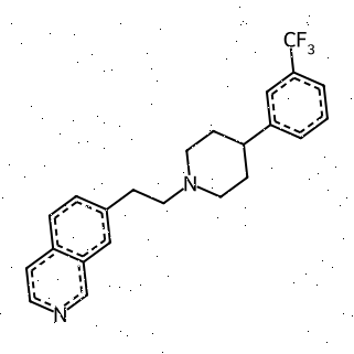 FC(F)(F)c1cccc(C2CCN(CCc3ccc4ccncc4c3)CC2)c1